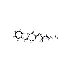 C/C=C/C(=O)OC1CCN(Cc2ccccc2)CC1